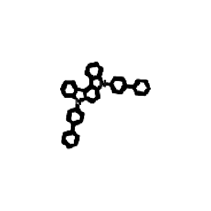 C1=CC(c2ccc(-n3c4ccccc4c4c5c6ccccc6n(-c6ccc(-c7ccccc7)cc6)c5ccc43)cc2)=CCC1